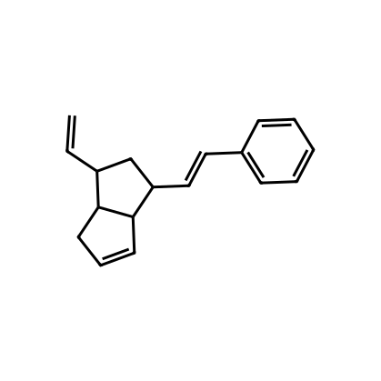 C=CC1CC(/C=C/c2ccccc2)C2C=CCC12